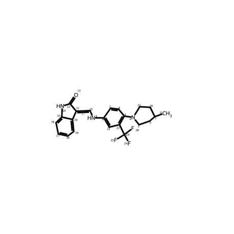 CC1CCN(c2ccc(N/C=C3/C(=O)Nc4ccccc43)cc2C(F)(F)F)CC1